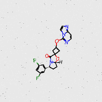 O=C1N2[C@@H](CC[C@H]2c2cc(F)cc(F)c2)OC12CC(Oc1nccc3nccn13)C2